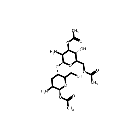 CC(=O)OCC1O[C@@H](O[C@H]2CC(N)[C@H](OC(C)=O)OC2CO)C(N)C(OC(C)=O)[C@@H]1O